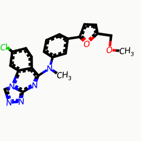 COCc1ccc(-c2cccc(N(C)c3nc4nncn4c4cc(Cl)ccc34)c2)o1